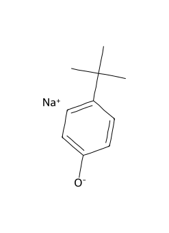 CC(C)(C)c1ccc([O-])cc1.[Na+]